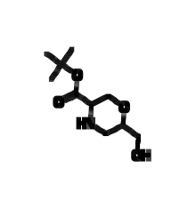 CC(C)(C)OC(=O)C1COC(CO)CN1